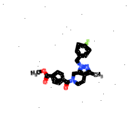 COC(=O)C12CCC(C(=O)N3CCc4c(C)nn(Cc5ccc(F)cc5)c4C3)(CC1)C2